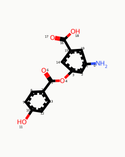 Nc1cc(OC(=O)c2[c]cc(O)cc2)cc(C(=O)O)c1